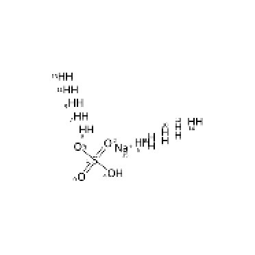 O=S(=O)([O-])O.[HH].[HH].[HH].[HH].[HH].[HH].[HH].[HH].[HH].[HH].[Na+]